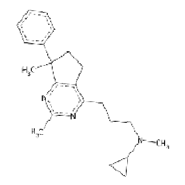 Cc1nc(CCCN(C)C2CC2)c2c(n1)C(C)(c1ccccc1)CC2